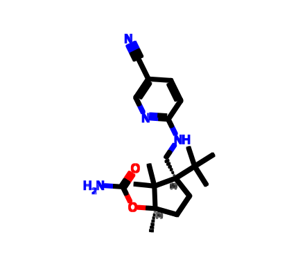 CC(C)(C)[C@@]1(CNc2ccc(C#N)cn2)CC[C@@](C)(OC(N)=O)C1(C)C